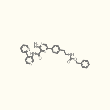 Nc1ncc(-c2ccc(CCNC(=O)OCc3ccccc3)cc2)nc1C(=O)Nc1cnccc1-c1ccccn1